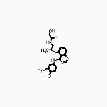 Cc1cc(Nc2ncnc3cccc(O[C@H](C)CNC(=O)CO)c23)ccc1O